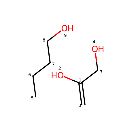 C=C(O)CO.CCCCO